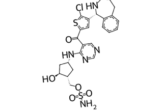 NS(=O)(=O)OC[C@H]1C[C@@H](Nc2ncncc2C(=O)c2cc([C@@H]3NCCCc4ccccc43)c(Cl)s2)C[C@@H]1O